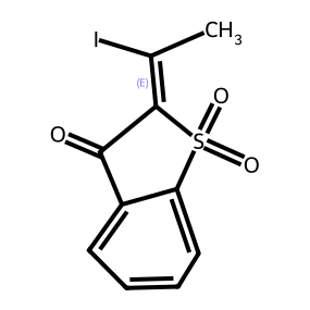 C/C(I)=C1/C(=O)c2ccccc2S1(=O)=O